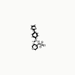 CCS(=O)(=O)N[C@H]1CCOC[C@@H]1COc1ccc(-c2nccs2)cc1